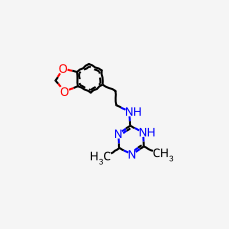 CC1=NC(C)N=C(NCCc2ccc3c(c2)OCO3)N1